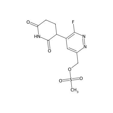 CS(=O)(=O)OCc1cc(C2CCC(=O)NC2=O)c(F)nn1